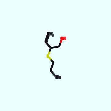 C=CC(CO)SCCC(C)(C)C